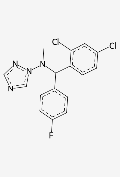 CN(C(c1ccc(F)cc1)c1ccc(Cl)cc1Cl)n1cncn1